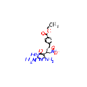 CCOC(=O)c1ccc(CCC(C[N+](=O)[O-])c2c(N)nc(N)[nH]c2=O)cc1